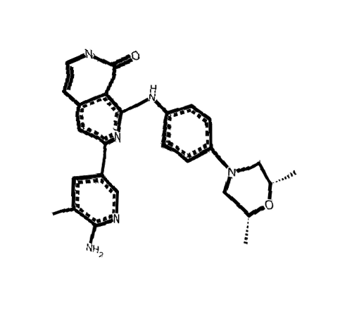 Cc1cc(-c2cc3c(c(Nc4ccc(N5C[C@@H](C)O[C@@H](C)C5)cc4)n2)C(=O)[N]C=C3)cnc1N